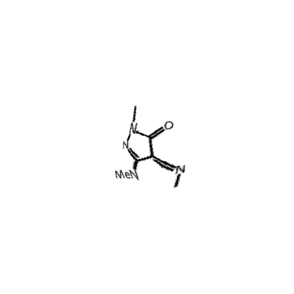 C/N=C1/C(=O)N(C)N=C1NC